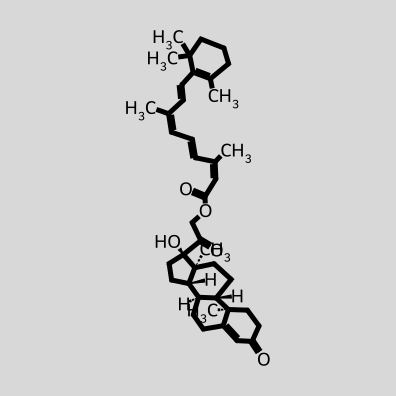 CC(C=CC1=C(C)CCCC1(C)C)=CC=CC(C)=CC(=O)OCC(=O)[C@@]1(O)CC[C@H]2[C@@H]3CCC4=CC(=O)CC[C@]4(C)[C@H]3CC[C@@]21C